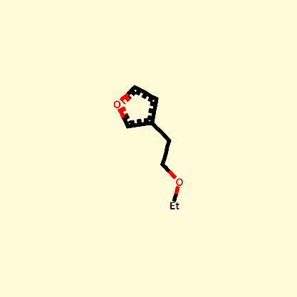 [CH2]COCCc1ccoc1